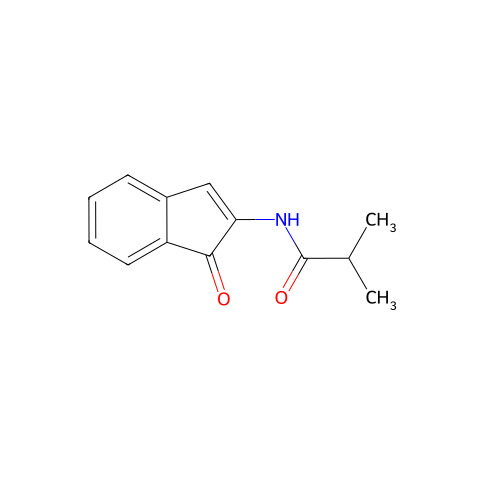 CC(C)C(=O)NC1=Cc2ccccc2C1=O